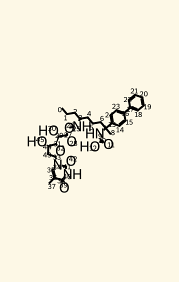 CCCC(CCCC(C)(NC(=O)O)c1ccc(-c2ccccc2)cc1)NOC(=O)C(O)[C@H]1O[C@@H](n2cc(C)c(=O)[nH]c2=O)C[C@@H]1O